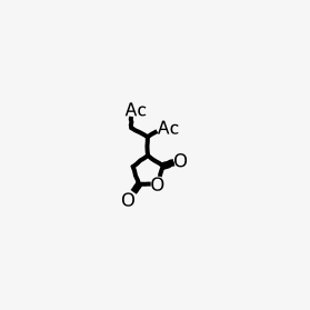 CC(=O)CC(C(C)=O)C1CC(=O)OC1=O